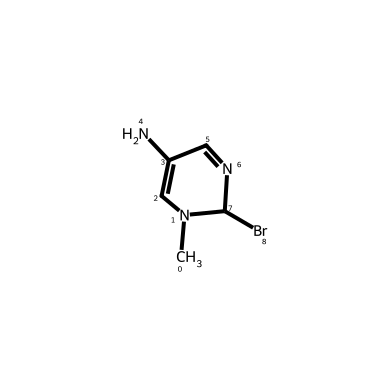 CN1C=C(N)C=NC1Br